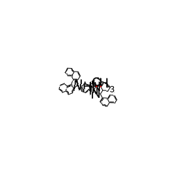 CNC1=CC=CCC1/C(=N\n1c2ccccc2c2cc(-n3c4ccc5ccccc5c4c4c5ccccc5ccc43)ccc21)c1cccc2ccccc12